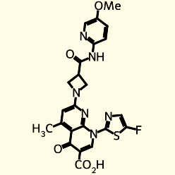 COc1ccc(NC(=O)C2CN(c3cc(C)c4c(=O)c(C(=O)O)cn(-c5ncc(F)s5)c4n3)C2)nc1